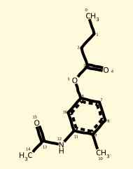 CCCC(=O)Oc1ccc(C)c(NC(C)=O)c1